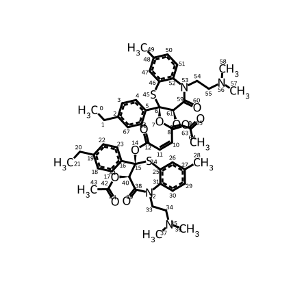 CCc1ccc([C@]2(OC(=O)/C=C\C(=O)O[C@@]3(c4ccc(CC)cc4)Sc4cc(C)ccc4N(CCN(C)C)C(=O)[C@H]3OC(C)=O)Sc3cc(C)ccc3N(CCN(C)C)C(=O)[C@H]2OC(C)=O)cc1